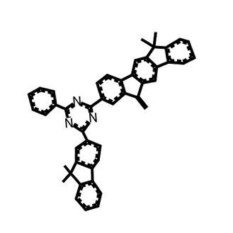 C=C1c2cc(-c3nc(-c4ccccc4)nc(-c4ccc5c(c4)C(C)(C)c4ccccc4-5)n3)ccc2-c2cc3c(cc21)-c1ccccc1C3(C)C